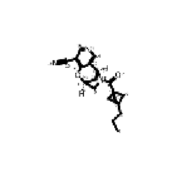 CCCC12CC(C(=O)N3C[C@@H]4C[C@H]3c3cncc(C#N)c3O4)(C1)C2